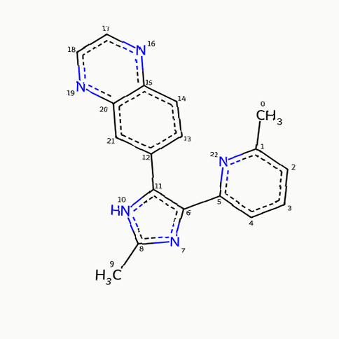 Cc1cccc(-c2nc(C)[nH]c2-c2ccc3nccnc3c2)n1